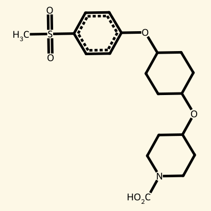 CS(=O)(=O)c1ccc(OC2CCC(OC3CCN(C(=O)O)CC3)CC2)cc1